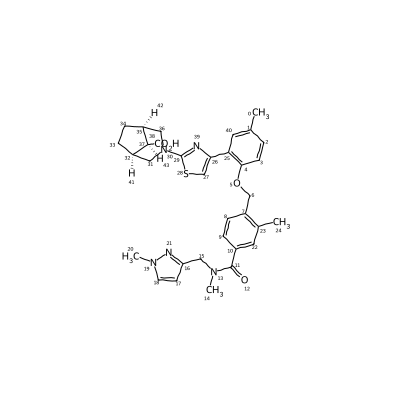 Cc1ccc(OCc2ccc(C(=O)N(C)Cc3ccn(C)n3)cc2C)c(-c2csc(N3C[C@H]4CC[C@@H](C3)[C@H]4C(=O)O)n2)c1